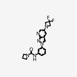 O=C(Nc1cccc(-n2cc3cc(N4CC(F)(F)C4)cnc3n2)c1)N1CCC1